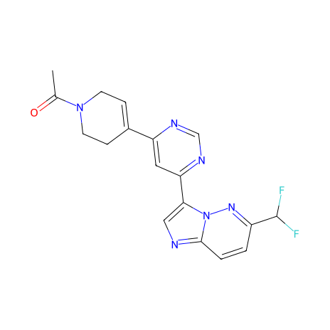 CC(=O)N1CC=C(c2cc(-c3cnc4ccc(C(F)F)nn34)ncn2)CC1